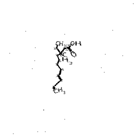 CCCCCCCCC(C)(CC)CC(=O)O